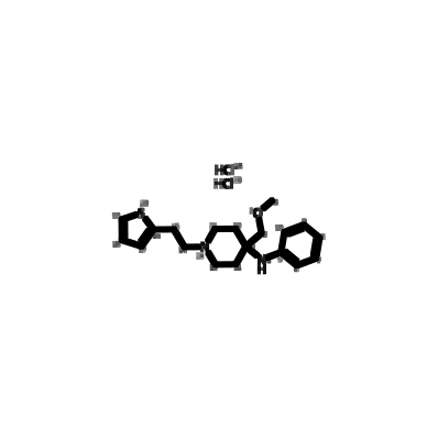 COCC1(Nc2ccccc2)CCN(CCc2cccs2)CC1.Cl.Cl